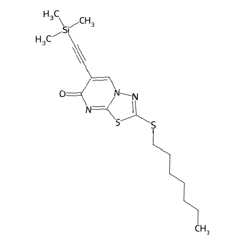 CCCCCCCSc1nn2cc(C#C[Si](C)(C)C)c(=O)nc2s1